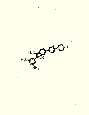 Cc1cc(-c2[nH]c3cc(-c4ccc(N5CCNCC5)nc4)ccc3c2C)cc(N)n1